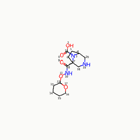 O=C(O)N1C2CCC1(C(=O)NOC1CCCCO1)CNC2